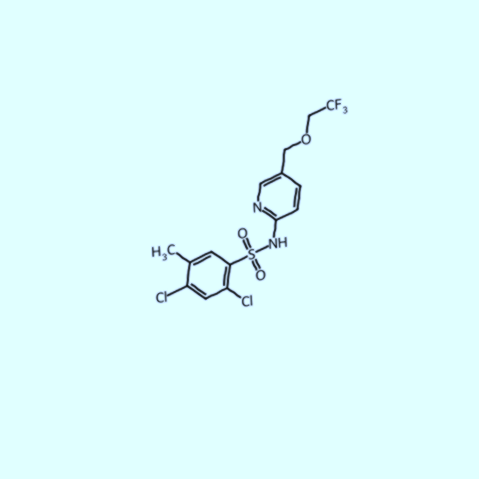 Cc1cc(S(=O)(=O)Nc2ccc(COCC(F)(F)F)cn2)c(Cl)cc1Cl